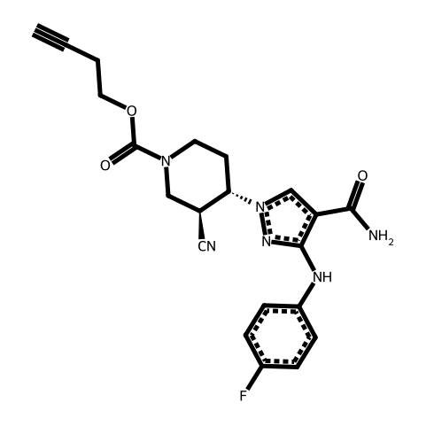 C#CCCOC(=O)N1CC[C@H](n2cc(C(N)=O)c(Nc3ccc(F)cc3)n2)[C@@H](C#N)C1